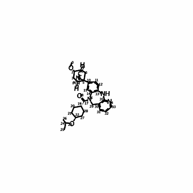 COC1C[C@H]2CC[C@@H]1CN2c1ccc2c(c1)N(C(=O)[C@H]1CC[C@H](OC(C)C)CC1)Cc1cccnc1N2